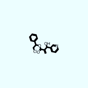 C=C(C(=O)OC(CCl)c1ccccc1)C(O)c1cccnc1